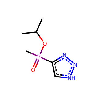 CC(C)OP(C)(=O)c1c[nH]nn1